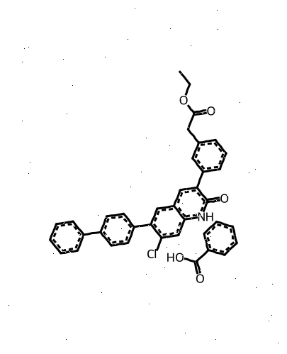 CCOC(=O)Cc1cccc(-c2cc3cc(-c4ccc(-c5ccccc5)cc4)c(Cl)cc3[nH]c2=O)c1.O=C(O)c1ccccc1